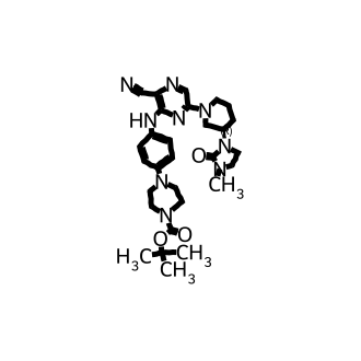 CN1CCN([C@@H]2CCCN(c3cnc(C#N)c(Nc4ccc(N5CCN(C(=O)OC(C)(C)C)CC5)cc4)n3)C2)C1=O